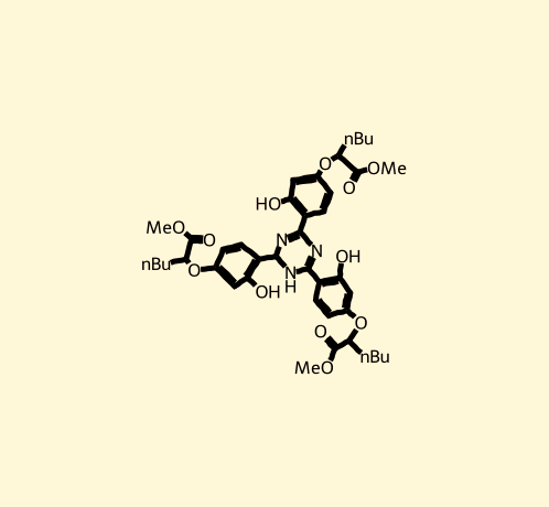 CCCCC(Oc1ccc(C2=NC(c3ccc(OC(CCCC)C(=O)OC)cc3O)NC(c3ccc(OC(CCCC)C(=O)OC)cc3O)=N2)c(O)c1)C(=O)OC